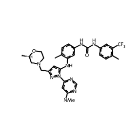 CNc1cc(-n2nc(CN3CCO[C@H](C)C3)cc2Nc2cc(NC(=O)Nc3ccc(C)c(C(F)(F)F)c3)ccc2C)ncn1